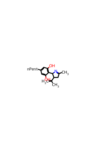 C=C(C)C1CC(C)=NC1c1c(O)cc(CCCCC)cc1O